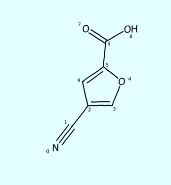 N#Cc1coc(C(=O)O)c1